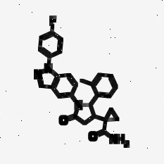 Cc1ccccc1C1C(C2(C(N)=O)CC2)CC(=O)N1c1ccc2c(cnn2-c2ccc(F)cc2)c1